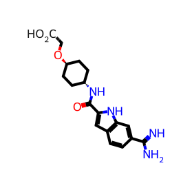 N=C(N)c1ccc2cc(C(=O)N[C@H]3CC[C@H](OCC(=O)O)CC3)[nH]c2c1